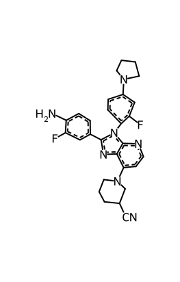 N#CC1CCCN(c2ccnc3c2nc(-c2ccc(N)c(F)c2)n3-c2ccc(N3CCCC3)cc2F)C1